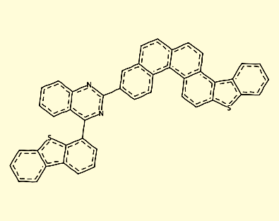 c1ccc2c(-c3cccc4c3sc3ccccc34)nc(-c3ccc4c(ccc5ccc6c(ccc7sc8ccccc8c76)c54)c3)nc2c1